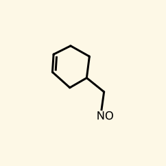 O=NCC1CC=CCC1